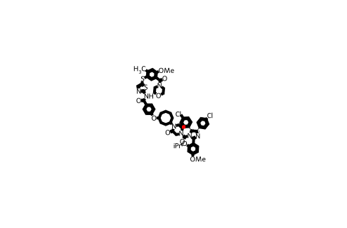 COc1ccc(C2=N[C@@H](c3ccc(Cl)cc3)[C@@H](c3ccc(Cl)cc3)N2C(=O)N2CCN(C3CCCCC(Oc4ccc(C(=O)Nc5ncc(Sc6cc(C(=O)N7CCOCC7)c(OC)cc6C)s5)cc4)CC3)C(=O)C2)c(OC(C)C)c1